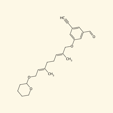 C#Cc1cc(C=O)cc(OC/C(C)=C/CC/C(C)=C/COC2CCCCO2)c1